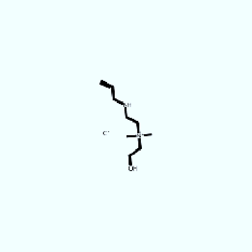 C=CCNCC[N+](C)(C)CCO.[Cl-]